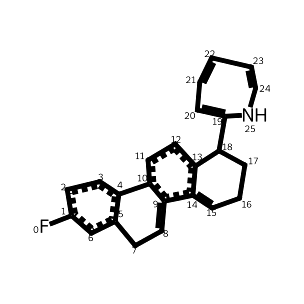 Fc1ccc2c(c1)CC=c1c-2ccc2c1=CCCC2C1=CC=CC=CN1